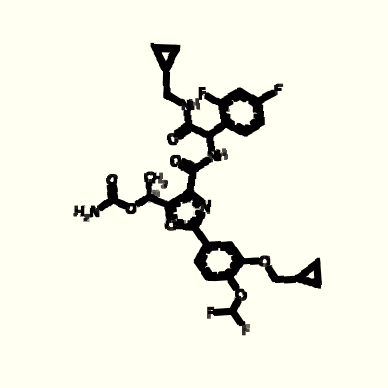 C[C@H](OC(N)=O)c1oc(-c2ccc(OC(F)F)c(OCC3CC3)c2)nc1C(=O)NC(C(=O)NCC1CC1)c1ccc(F)cc1F